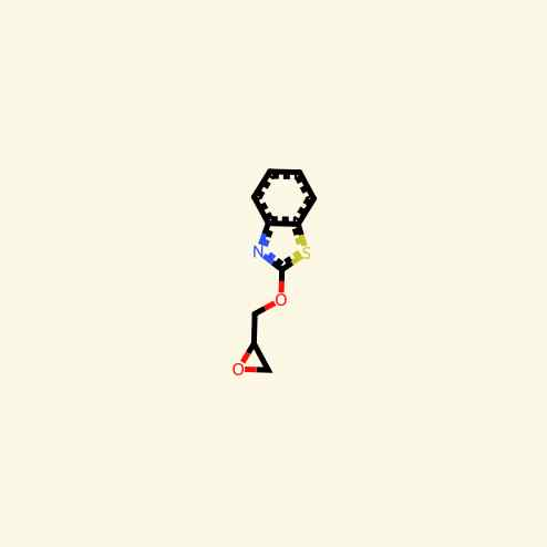 c1ccc2sc(OCC3CO3)nc2c1